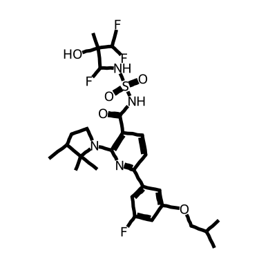 CC(C)COc1cc(F)cc(-c2ccc(C(=O)NS(=O)(=O)NC(F)C(C)(O)C(F)F)c(N3CCC(C)C3(C)C)n2)c1